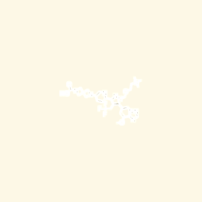 COc1cc(-c2c(CC(F)(F)F)c(-c3ccc(N4CC5(CN(C(=O)O)C5)C4)cn3)nn2COCC[Si](C)(C)C)cn2ncnc12